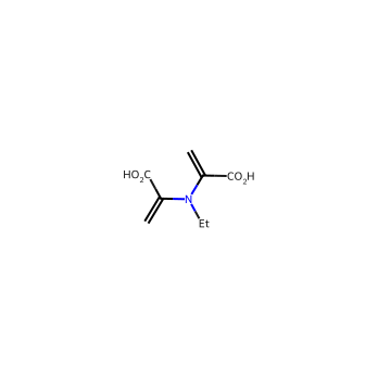 C=C(C(=O)O)N(CC)C(=C)C(=O)O